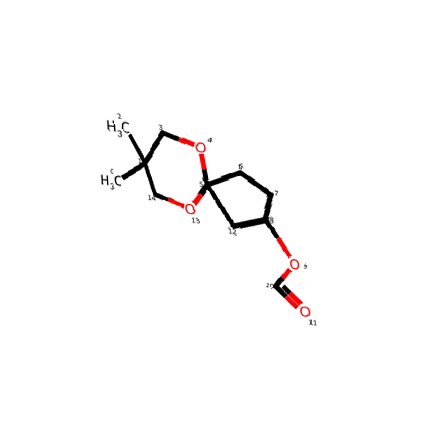 CC1(C)COC2(CCC(OC=O)C2)OC1